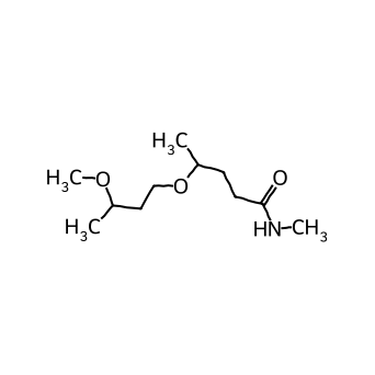 CNC(=O)CCC(C)OCCC(C)OC